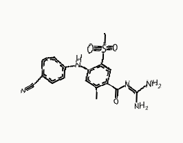 Cc1cc(Nc2ccc(C#N)cc2)c(S(C)(=O)=O)cc1C(=O)N=C(N)N